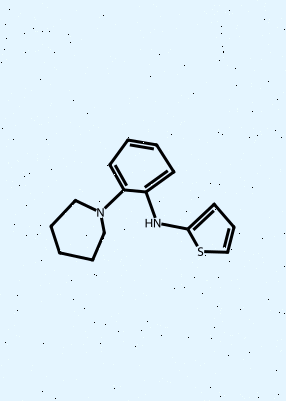 c1csc(Nc2ccccc2N2CCCCC2)c1